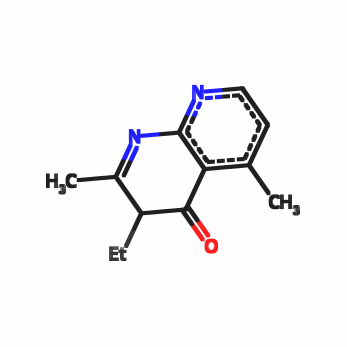 CCC1C(=O)c2c(C)ccnc2N=C1C